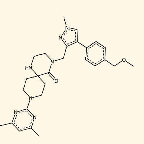 COCc1ccc(-c2cn(C)nc2CN2CCNC3(CCN(c4nc(C)cc(C)n4)CC3)C2=O)cc1